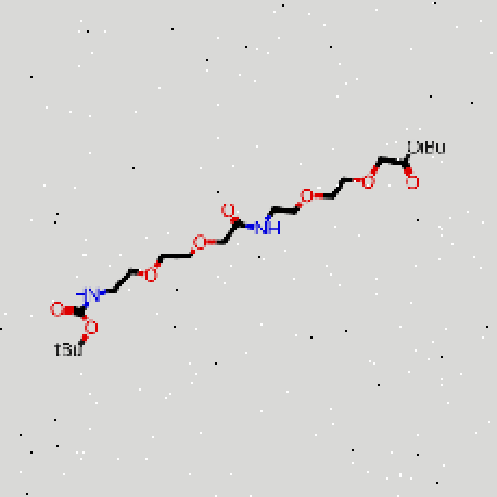 CC(C)COC(=O)COCCOCCNC(=O)COCCOCCNC(=O)OC(C)(C)C